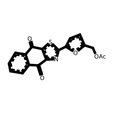 CC(=O)OCc1ccc(-c2nc3c(s2)C(=O)c2ccccc2C3=O)o1